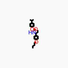 CCCCOc1ccc(C(CC)NC(=O)Oc2ccc(C(C)C)cc2)cc1